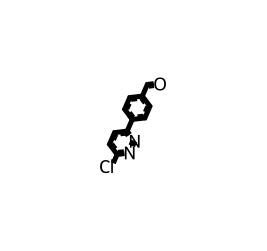 O=Cc1ccc(-c2ccc(Cl)nn2)cc1